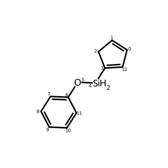 C1=CCC([SiH2]Oc2ccccc2)=C1